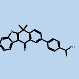 CC(O)c1ccc(-c2ccc3c(c2)C(=O)c2c(oc4ccccc24)C3(C)C)cc1